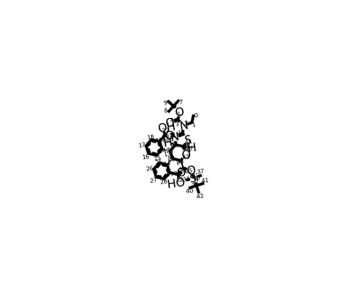 CCN(C(=O)OC(C)(C)C)C1=N[C@@H]2[C@@H](c3ccccc3C(=O)O)[C@@H](c3ccccc3C(=O)O)[C@H](CO[Si](C)(C)C(C)(C)C)O[C@@H]2S1